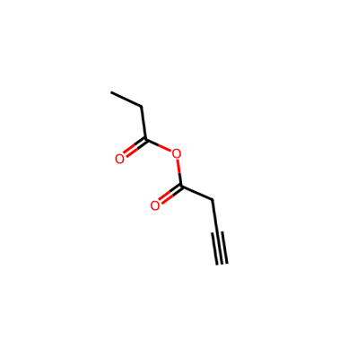 C#CCC(=O)OC(=O)CC